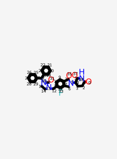 O=C1CCC(N2Cc3c(ccc(CN4CCN(C(c5ccccc5)c5ccccc5)C4=O)c3F)C2=O)C(=O)N1